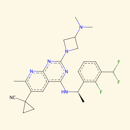 Cc1nc2nc(N3CC(N(C)C)C3)nc(N[C@H](C)c3cccc(C(F)F)c3F)c2cc1C1(C#N)CC1